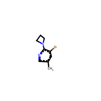 Cc1cnc(N2CCC2)c(Br)c1